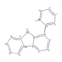 c1ccc(-c2cccc3c2oc2ccccc23)nc1